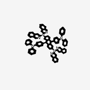 c1ccc(N(c2ccccc2)c2ccc(-c3c4ccc(N(c5cc6ccccc6cn5)c5cc6ccccc6cn5)cc4c(-c4ccc(N(c5ccccc5)c5ccccc5)cc4)c4ccc(N(c5cc6ccccc6cn5)c5cc6ccccc6cn5)cc34)cc2)cc1